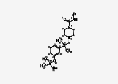 CCNC(=O)N1CCN(C[Si](C)(C)c2cccc(O[Si](C)(C)C(C)(C)C)c2)CC1